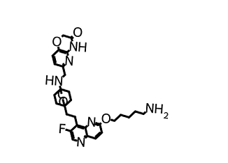 NCCCCCOc1ccc2ncc(F)c(CCC34CCC(NCc5ccc6c(n5)NC(=O)CO6)(CC3)CO4)c2n1